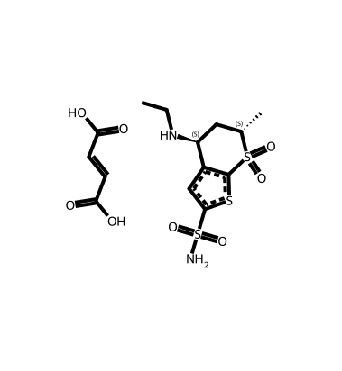 CCN[C@H]1C[C@H](C)S(=O)(=O)c2sc(S(N)(=O)=O)cc21.O=C(O)C=CC(=O)O